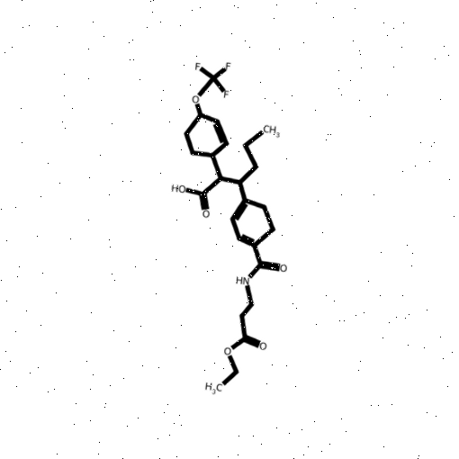 CCCC(C1=CC=C(C(=O)NCCC(=O)OCC)CC1)C(C(=O)O)C1C=CC(OC(F)(F)F)CC1